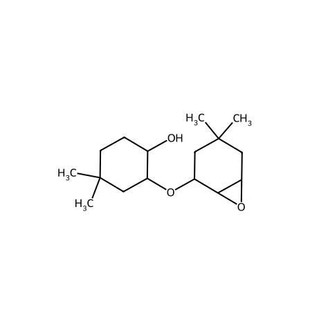 CC1(C)CCC(O)C(OC2CC(C)(C)CC3OC23)C1